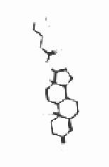 CC12CCC(=O)C=C1CCC1C2CCC2(C)C(OC(=O)CCCC(=O)O)CCC12